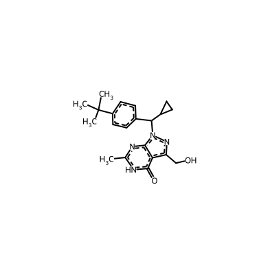 Cc1nc2c(c(CO)nn2C(c2ccc(C(C)(C)C)cc2)C2CC2)c(=O)[nH]1